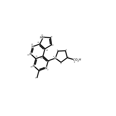 Cc1nc(N2CCC(C(=O)O)C2)c2c(nnc3[nH]ccc32)n1